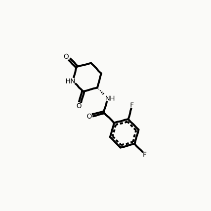 O=C1CC[C@H](NC(=O)c2ccc(F)cc2F)C(=O)N1